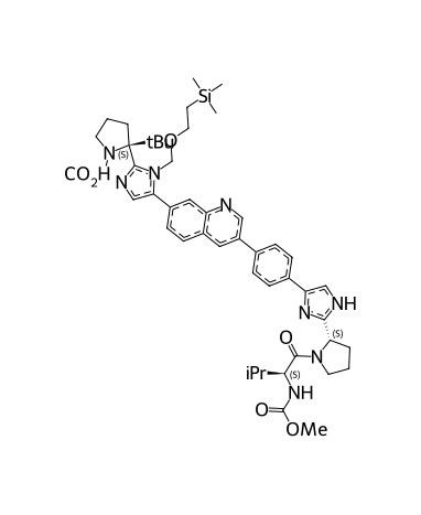 COC(=O)N[C@H](C(=O)N1CCC[C@H]1c1nc(-c2ccc(-c3cnc4cc(-c5cnc([C@@]6(C(C)(C)C)CCCN6C(=O)O)n5COCC[Si](C)(C)C)ccc4c3)cc2)c[nH]1)C(C)C